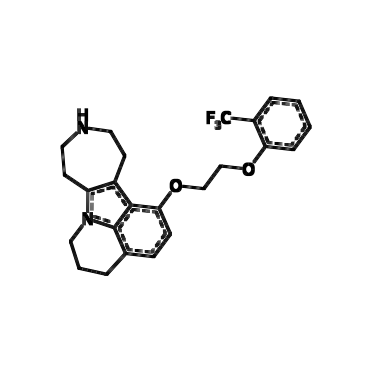 FC(F)(F)c1ccccc1OCCOc1ccc2c3c1c1c(n3CCC2)CCNCC1